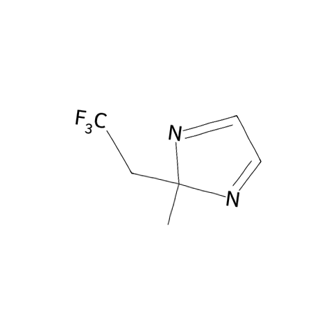 CC1(CC(F)(F)F)N=CC=N1